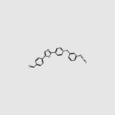 O=Cc1ccc(-c2cnc(-c3cc[n+](Cc4cccc(N=C=S)c4)cc3)o2)cc1